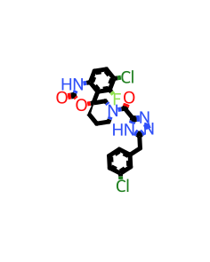 O=C1Nc2ccc(Cl)c(F)c2[C@@]2(CCCN(C(=O)c3nnc(Cc4cccc(Cl)c4)[nH]3)C2)O1